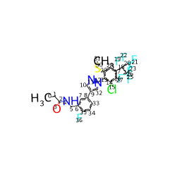 CCC(=O)NCc1cc(-c2cnn(-c3c(Cl)cc(C(F)(C(F)(F)F)C(F)(F)F)cc3SC)c2)ccc1F